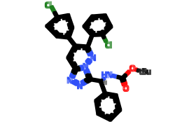 CC(C)(C)OC(=O)N[C@@H](c1ccccc1)c1nnc2cc(-c3ccc(Cl)cc3)c(-c3ccccc3Cl)nn12